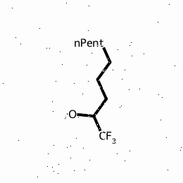 CCCCCCCCC([O])C(F)(F)F